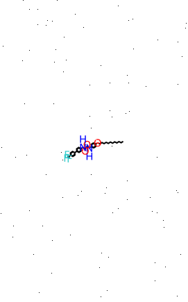 CCCCCCCCCCCCOc1ccc(NC(=O)C(=O)Nc2ccc(-c3ccc(C(F)(F)F)cc3)cc2)cc1